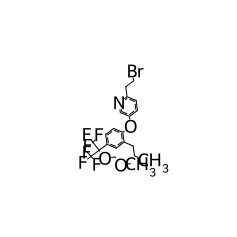 CCCc1cc(C(OCOC)(C(F)(F)F)C(F)(F)F)ccc1Oc1ccc(CCBr)nc1